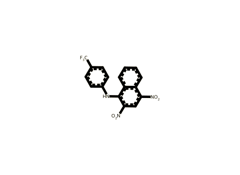 O=[N+]([O-])c1cc([N+](=O)[O-])c2ccccc2c1Nc1ccc(C(F)(F)F)cc1